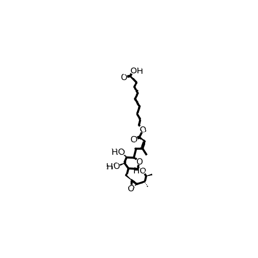 C/C(=C/C(=O)OCCCCCCCCC(=O)O)CC1OCC(C[C@@H]2O[C@H]2[C@@H](C)[C@H](C)O)[C@@H](O)[C@H]1O